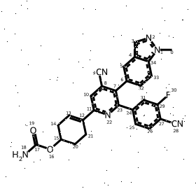 Cn1ncc2cc(-c3c(C#N)cc(C4=CCC(OC(N)=O)CC4)nc3-c3ccc(C#N)c(F)c3)ccc21